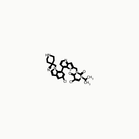 CC(C)n1cc(Cl)c(=O)n(Cc2cc3nccc(-c4cc(Cl)cc5ccn(CC6(C#N)CCNCC6)c45)c3s2)c1=O